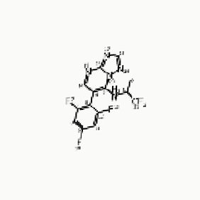 CC(Nc1c(-c2c(F)cc(F)cc2F)cnc2ncnn12)C(F)(F)F